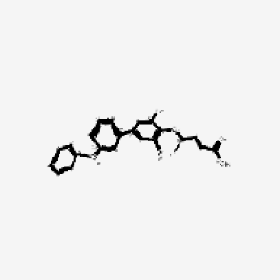 O=C(O)CC[C@@H](I)Oc1c(F)cc(-c2cccc(Oc3ccccc3)c2)cc1F